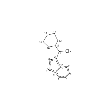 ClC(c1csc2ccccc12)C1CCCCC1